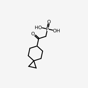 O=C(CP(=O)(O)O)C1CCC2(CC1)CC2